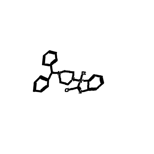 CC[N+]1(N2CCN(C(c3ccccc3)c3ccccc3)CC2)C(Cl)=Nc2ccccc21